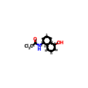 O=C(Nc1cccc2c(O)cccc12)C(Cl)(Cl)Cl